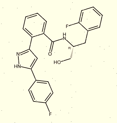 O=C(N[C@@H](CO)Cc1ccccc1F)c1ccccc1-c1cc(-c2ccc(F)cc2)[nH]n1